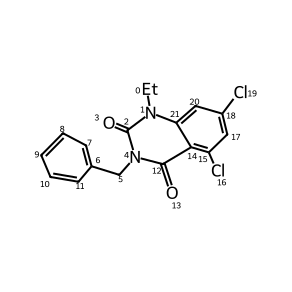 CCn1c(=O)n(Cc2ccccc2)c(=O)c2c(Cl)cc(Cl)cc21